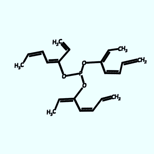 C=C/C=C\C(=C/C)OP(O/C(C=C)=C/C=C\C)OC(/C=C\C=C)=C/C